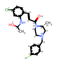 CC(O)Nc1cc(Cl)ccc1/C=C/C(=O)N1CCN(Cc2ccc(F)cc2)C[C@H]1C